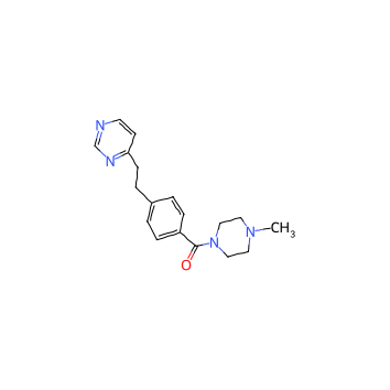 CN1CCN(C(=O)c2ccc(CCc3ccncn3)cc2)CC1